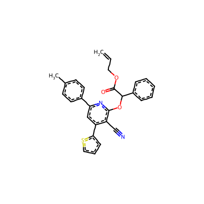 C=CCOC(=O)C(Oc1nc(-c2ccc(C)cc2)cc(-c2cccs2)c1C#N)c1ccccc1